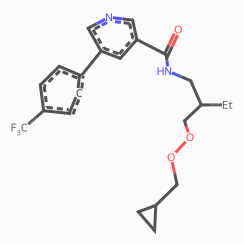 CCC(CNC(=O)c1cncc(-c2ccc(C(F)(F)F)cc2)c1)COOCC1CC1